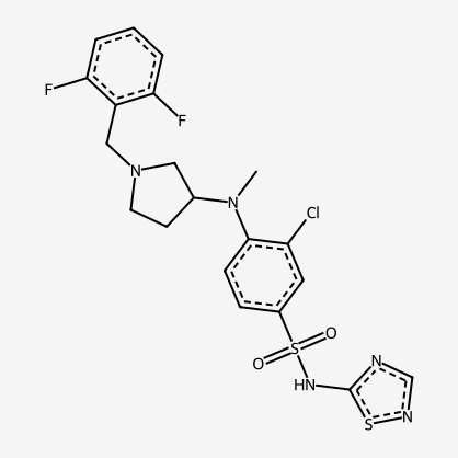 CN(c1ccc(S(=O)(=O)Nc2ncns2)cc1Cl)C1CCN(Cc2c(F)cccc2F)C1